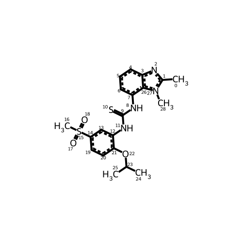 Cc1nc2cccc(NC(=S)Nc3cc(S(C)(=O)=O)ccc3OC(C)C)c2n1C